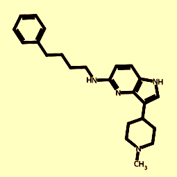 CN1CCC(c2c[nH]c3ccc(NCCCCc4ccccc4)nc23)CC1